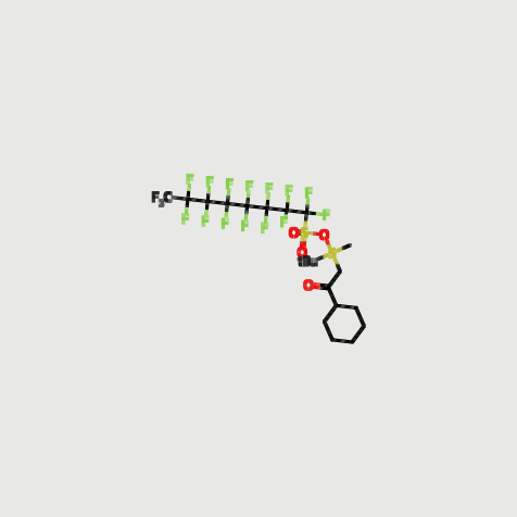 CC(C)(C)S(C)(CC(=O)C1CCCCC1)OS(=O)(=O)C(F)(F)C(F)(F)C(F)(F)C(F)(F)C(F)(F)C(F)(F)C(F)(F)C(F)(F)F